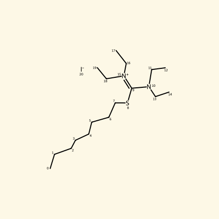 CCCCCCCCSC(N(CC)CC)=[N+](CC)CC.[I-]